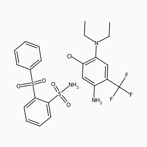 CCN(CC)c1cc(C(F)(F)F)c(N)cc1Cl.NS(=O)(=O)c1ccccc1S(=O)(=O)c1ccccc1